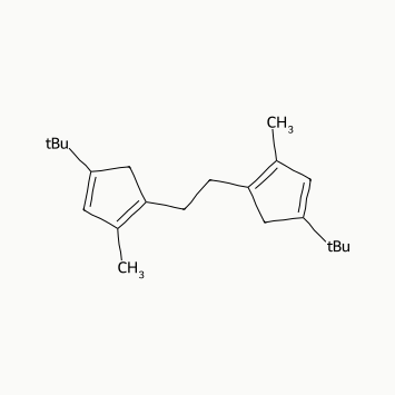 CC1=C(CCC2=C(C)C=C(C(C)(C)C)C2)CC(C(C)(C)C)=C1